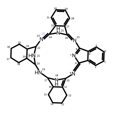 c1ccc2c(c1)C1=NC2=NC2=C3CCCCC3C(N2)NC2NC(/N=c3\[nH]c(c4ccccc34)=N1)C1CCCCC21